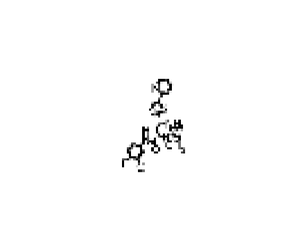 CN1[C@@H](C(=O)Nc2ccc(F)c(Cl)c2)C[C@@H](c2ncc(-c3ccccn3)s2)NS1(=O)=O